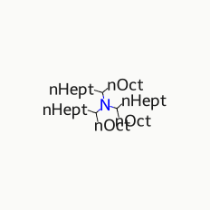 CCCCCCCCC(CCCCCCC)N(C(CCCCCCC)CCCCCCCC)C(CCCCCCC)CCCCCCCC